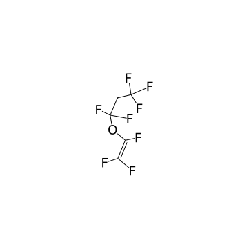 FC(F)=C(F)OC(F)(F)CC(F)(F)F